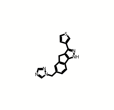 c1ncn(Cc2ccc3c(c2)Cc2c(-c4ccsc4)n[nH]c2-3)n1